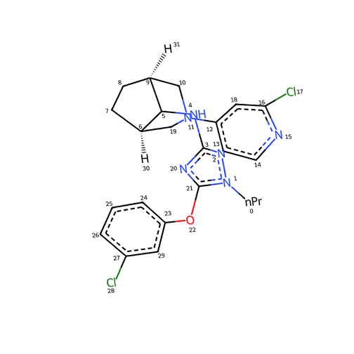 CCCn1nc(NC2[C@@H]3CC[C@H]2CN(c2ccnc(Cl)c2)C3)nc1Oc1cccc(Cl)c1